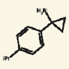 CC(C)c1ccc(C2(N)CC2)cc1